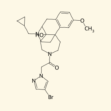 COc1ccc2c(c1)C13CCN(C(=O)Cn4cc(Br)cn4)CCC1(O)C(C2)N(CC1CC1)CC3